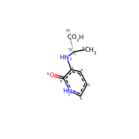 C[C@H](Nc1ccc[nH]c1=O)C(=O)O